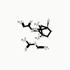 C=CC(=O)O[C@H]1C[C@@H]2CC[C@@]1(C)C2(C)C.C=COC(C)=O